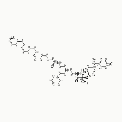 CC/C=C\C/C=C\C/C=C\C/C=C\C/C=C\C/C=C\CCC(=O)NCCN(CCNC(=O)C(C)(C)Oc1ccc(C(=O)c2ccc(Cl)cc2)cc1)CCN1CCOCC1